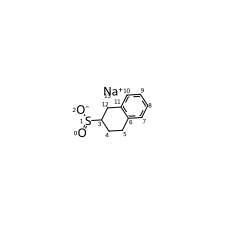 O=S([O-])C1CCc2ccccc2C1.[Na+]